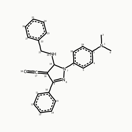 CN(C)c1ccc(N2N=C(c3ccccc3)C(=C=O)C2NCc2ccccc2)cc1